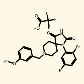 CC(C)Oc1cccc(CN2CCC3(CC2)C(=O)NC(=O)N3c2cc(F)ccc2Br)c1.O=C(O)C(F)(F)F